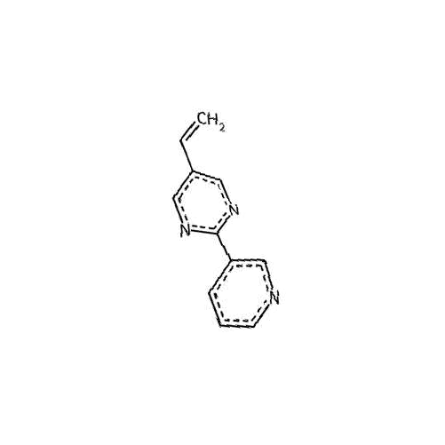 C=Cc1cnc(-c2cccnc2)nc1